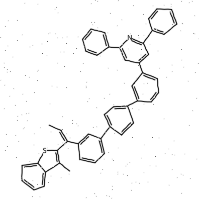 C/C=C(/c1cccc(-c2ccc(-c3cccc(-c4cc(-c5ccccc5)nc(-c5ccccc5)c4)c3)cc2)c1)c1sc2ccccc2c1C